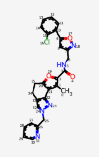 Cc1c(C(=O)NCc2cc(-c3ccccc3Cl)on2)oc2c1-c1nn(Cc3ccccn3)cc1CC2